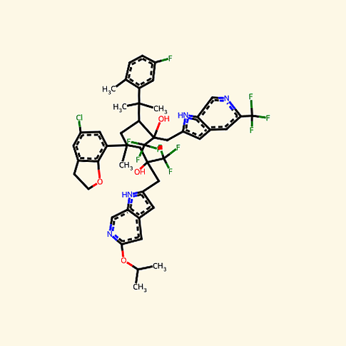 Cc1ccc(F)cc1C(C)(C)C(CC(C)(CC(O)(Cc1cc2cc(OC(C)C)ncc2[nH]1)C(F)(F)F)c1cc(Cl)cc2c1OCC2)C(O)(Cc1cc2cc(C(F)(F)F)ncc2[nH]1)C(F)(F)F